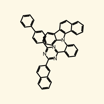 c1ccc(-c2ccc(-c3nc(-c4ccc5ccccc5c4)nc(-c4ccccc4-n4c5ccccc5c5ccc6ccccc6c54)n3)cc2)cc1